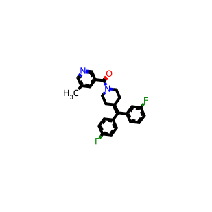 Cc1cncc(C(=O)N2CCC(=C(c3ccc(F)cc3)c3cccc(F)c3)CC2)c1